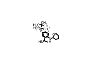 CC(C)(C)[Si](C)(C)Oc1ccc(NC2CCCCO2)c(C(=N)I)c1